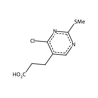 CSc1ncc(CCC(=O)O)c(Cl)n1